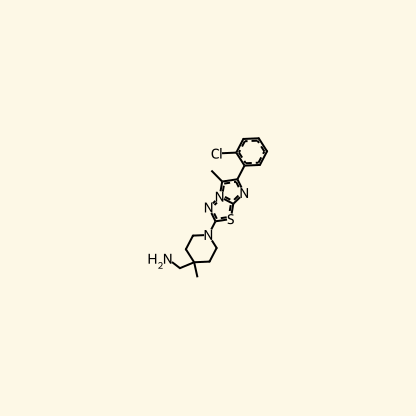 Cc1c(-c2ccccc2Cl)nc2sc(N3CCC(C)(CN)CC3)nn12